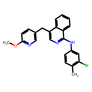 COc1ccc(Cc2cnc(Nc3ccc(C)c(Br)c3)c3ccccc23)cn1